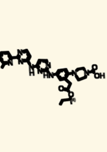 CC[C@@H](C)OC(=O)Cc1cc(Nc2nccc(Nc3ccnc(-c4cccc(C)n4)n3)n2)ccc1N1CCN(C(=O)O)CC1